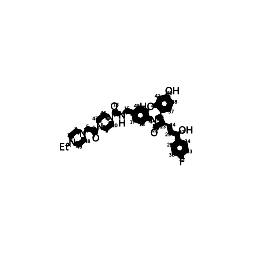 CCN1CCN(CC(=O)N2CCN(C(=O)NCc3ccc(N4C(=O)[C@H](CC[C@H](O)c5ccc(F)cc5)[C@H]4c4ccc(O)cc4O)cc3)CC2)CC1